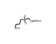 CCCCCCCCCCC[Si](Cl)(Cl)COCCCCC